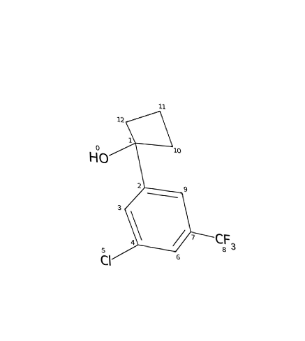 OC1(c2cc(Cl)cc(C(F)(F)F)c2)CCC1